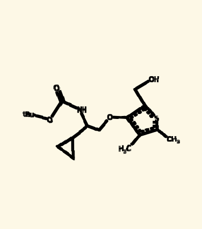 Cc1sc(CO)c(OCC(NC(=O)OC(C)(C)C)C2CC2)c1C